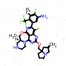 C=C1CN2CCCC2(COc2nc3c4c(nc(-c5cc(N)c(F)c(C)c5C(F)(F)F)c(F)c4n2)O[C@@H](C)[C@@H]2CNCCN32)C1